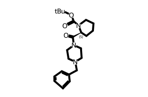 CC(C)(C)OC(=O)N1CCCC[C@H]1C(=O)N1CCN(Cc2ccccc2)CC1